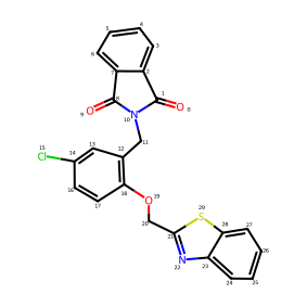 O=C1c2ccccc2C(=O)N1Cc1cc(Cl)ccc1OCc1nc2ccccc2s1